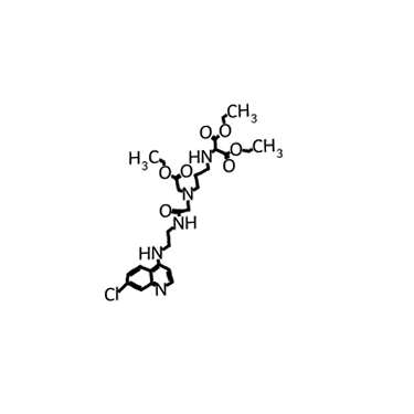 CCOC(=O)CN(CCCNC(C(=O)OCC)C(=O)OCC)CC(=O)NCCNc1ccnc2cc(Cl)ccc12